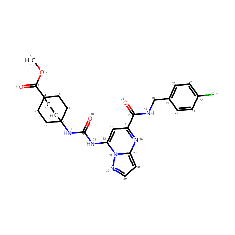 COC(=O)C12CCC(NC(=O)Nc3cc(C(=O)NCc4ccc(F)cc4)nc4ccnn34)(CC1)CC2